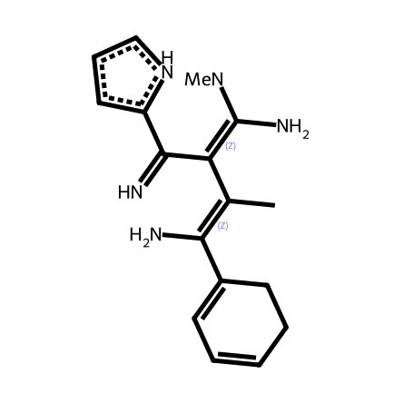 CN/C(N)=C(C(=N)c1ccc[nH]1)/C(C)=C(\N)C1=CC=CCC1